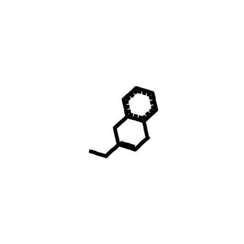 CCC1=C[CH]c2ccccc2C1